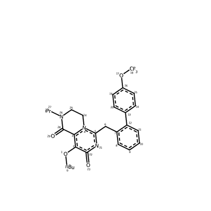 CCCCOc1c2n(c(Cc3ccccc3-c3ccc(OC(F)(F)F)cc3)nc1=O)CCN(C(C)C)C2=O